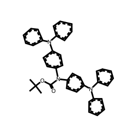 CC(C)(C)OC(=O)N(c1ccc(N(c2ccccc2)c2ccccc2)cc1)c1ccc(N(c2ccccc2)c2ccccc2)cc1